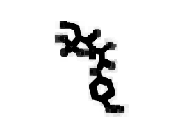 COc1ccc(NC(=O)[C@@H](NC(=O)C(CC(C)C)P(=O)(O)O)C(C)C)cc1